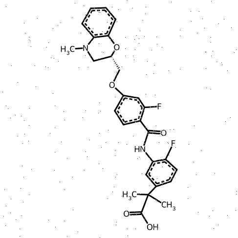 CN1C[C@@H](COc2ccc(C(=O)Nc3cc(C(C)(C)C(=O)O)ccc3F)c(F)c2)Oc2ccccc21